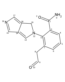 NC(=O)c1cccc(CC=O)c1N1C=C2C=NC=C2C1